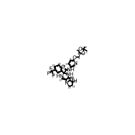 CC1(C)OC[C@H](COc2ccc(NC(=O)C3(c4cccc(C(F)(F)F)c4)NC=C4C(=N[C@H]5CCN4C5)N3)cn2)O1